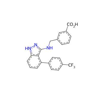 O=C(O)c1cccc(CNc2n[nH]c3cccc(-c4ccc(C(F)(F)F)cc4)c23)c1